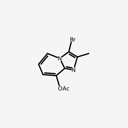 CC(=O)Oc1cccn2c(Br)c(C)nc12